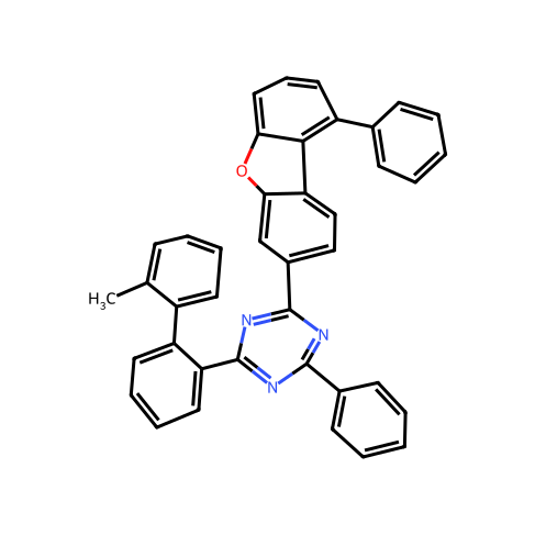 Cc1ccccc1-c1ccccc1-c1nc(-c2ccccc2)nc(-c2ccc3c(c2)oc2cccc(-c4ccccc4)c23)n1